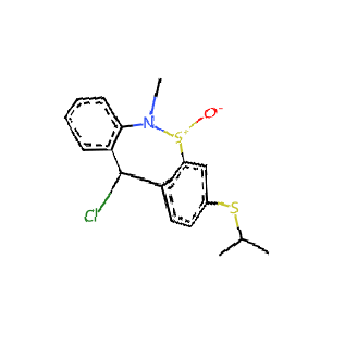 CC(C)Sc1ccc2c(c1)[S+]([O-])N(C)c1ccccc1C2Cl